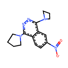 O=[N+]([O-])c1ccc2c(N3CCCC3)nnc(N3CCC3)c2c1